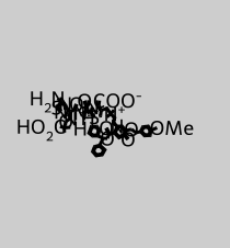 COc1ccc(COc2cn(CC[N+](C)(C)CC3=C(C(=O)[O-])N4C(=O)[C@@H](NC(=O)C(=NOC(C)(C)C(=O)O)c5nsc(N)n5)[C@@H]4SC3)c(C(=O)OC(c3ccccc3)c3ccccc3)cc2=O)cc1